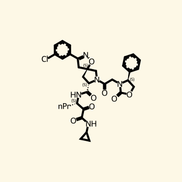 CCC[C@H](NC(=O)[C@@H]1C[C@]2(CC(c3cccc(Cl)c3)=NO2)CN1C(=O)CN1C(=O)OC[C@@H]1c1ccccc1)C(=O)C(=O)NC1CC1